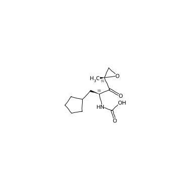 C[C@@]1(C(=O)[C@H](CC2CCCC2)NC(=O)O)CO1